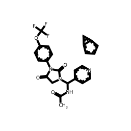 CC(=O)NC(c1ccncc1)N1CC(=O)N(c2ccc(OC(F)(F)F)cc2)C1=O.c1cc2cc-2c1